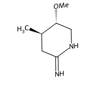 CO[C@@H]1CNC(=N)C[C@H]1C